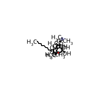 C/C=C(/C)C(=O)O[C@H]1C(C)=CC23C(=O)[C@@H](C=C(CO)[C@@H](O)[C@]12O)C(C)(C)[C@](C)(OC(=O)CCCCCCCCC)CC3C